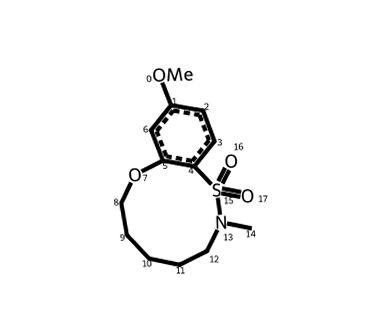 COc1ccc2c(c1)OCCCCCN(C)S2(=O)=O